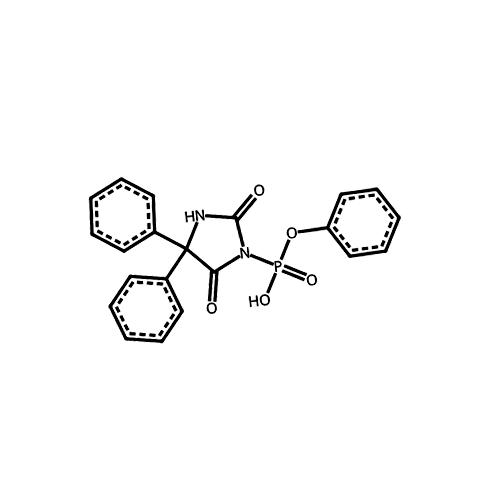 O=C1NC(c2ccccc2)(c2ccccc2)C(=O)N1P(=O)(O)Oc1ccccc1